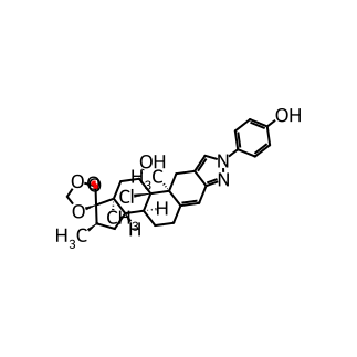 C[C@@H]1C[C@H]2[C@@H]3CCC4=Cc5nn(-c6ccc(O)cc6)cc5C[C@]4(C)[C@@]3(Cl)[C@@H](O)C[C@]2(C)[C@]12OCOC21COCO1